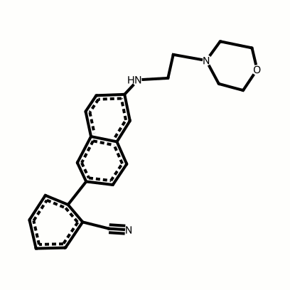 N#Cc1ccccc1-c1ccc2cc(NCCN3CCOCC3)ccc2c1